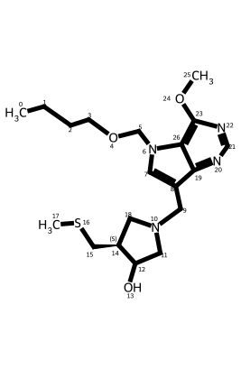 CCCCOCn1cc(CN2CC(O)[C@@H](CSC)C2)c2ncnc(OC)c21